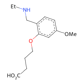 CCNCc1ccc(OC)cc1OCCCC(=O)O